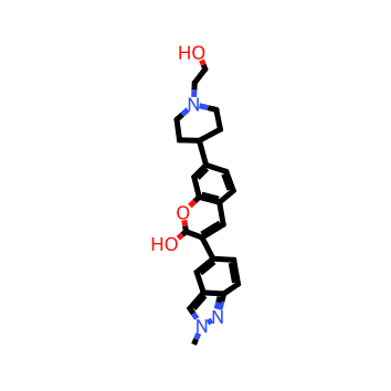 Cn1cc2cc(C3=Cc4ccc(C5CCN(CCO)CC5)cc4OC3O)ccc2n1